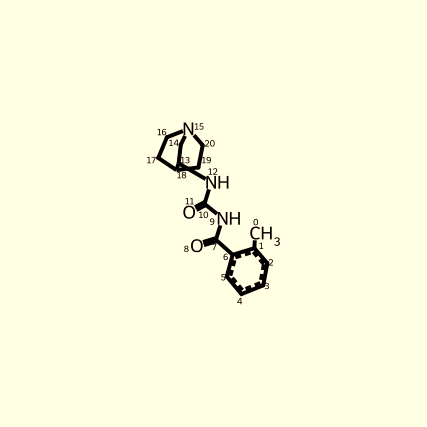 Cc1ccccc1C(=O)NC(=O)NC1CN2CCC1CC2